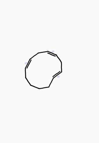 [C]1=C\C/C=C/CCCC/C=C\C/1